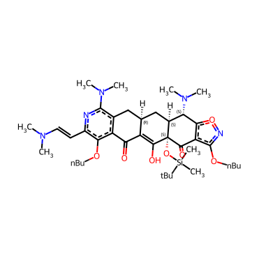 CCCCOc1noc2c1C(=O)[C@@]1(O[Si](C)(C)C(C)(C)C)C(O)=C3C(=O)c4c(c(N(C)C)nc(C=CN(C)C)c4OCCCC)C[C@H]3C[C@H]1[C@@H]2N(C)C